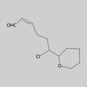 O=C/C=C\CCC(Cl)C1CCCCO1